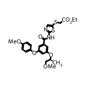 CCOC(=O)CSc1cnc(NC(=O)c2cc(Oc3ccc(OC)cc3)cc(O[C@@H](C)COC)c2)s1